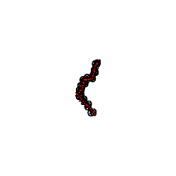 CCOC(=O)CCCCCOC(=O)CCCCSC(=O)CCCC(=O)OC(C)C(=O)OCC(=O)OCCC(COC(=O)COC(=O)C(C)OC(=O)CCCC(=O)SCCCCC(=O)OCCCCCC(=O)OCC)OC